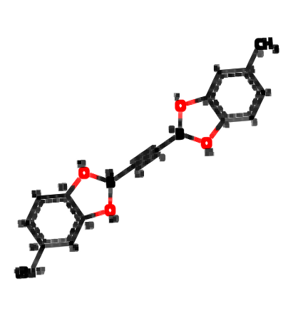 Cc1ccc2c(c1)OB(C#CB1Oc3ccc(C(C)(C)C)cc3O1)O2